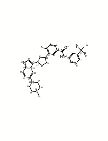 Cc1ccc(C(=O)Nc2cncc(C(F)(F)F)c2)cc1C1CCN(c2cnc3ccc(N4CCN(C)CC4)cn23)C1